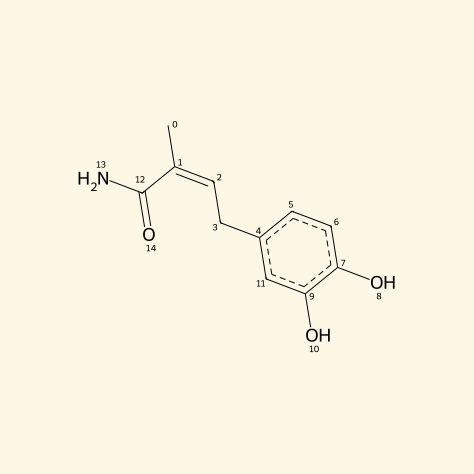 CC(=CCc1ccc(O)c(O)c1)C(N)=O